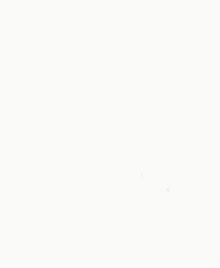 Cc1ccc(B(O)O)s1.OB(O)c1cc2ccccc2s1